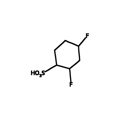 O=S(=O)(O)C1CCC(F)CC1F